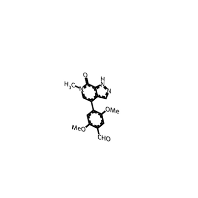 COc1cc(-c2cn(C)c(=O)c3[nH]ncc23)c(OC)cc1C=O